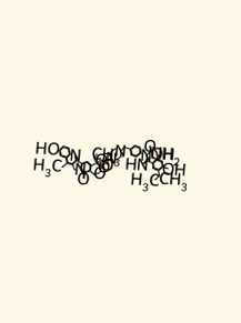 CCc1c2c(nc3ccc(O)cc13)-c1cc3c(c(=O)n1C2)COC(=O)C3(CC)OC(=O)N1CCN(Cc2ccc(N(C(=N)c3cc(C(C)C)c(O)cc3O)C(N)=O)cc2)CC1